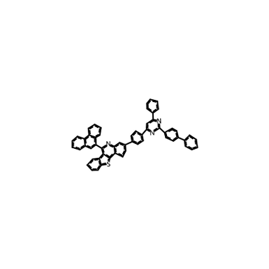 c1ccc(-c2ccc(-c3nc(-c4ccccc4)cc(-c4ccc(-c5ccc6c(c5)nc(-c5cc7ccccc7c7ccccc57)c5c7ccccc7sc65)cc4)n3)cc2)cc1